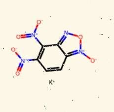 O=[N+]([O-])c1ccc2c(no[n+]2[O-])c1[N+](=O)[O-].[K+]